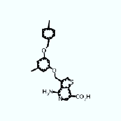 Cc1ccc(COc2cc(C)cc(OCc3csc4c(C(=O)O)cnc(N)c34)c2)cc1